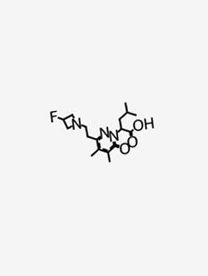 Cc1c(CCN2CC(F)C2)nn(C(CC(C)C)C(=O)O)c(=O)c1C